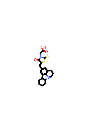 O=C(O)CN1C(=O)/C(=C/c2cc3c4c(c2)C2CCCCC2N4CCC3)SC1=S